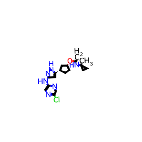 C=C(NC1(C)CC1)O[C@@H]1CC[C@H](c2cc(Nc3cnc(Cl)cn3)n[nH]2)C1